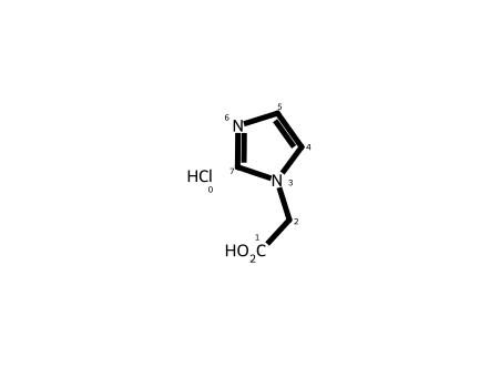 Cl.O=C(O)Cn1ccnc1